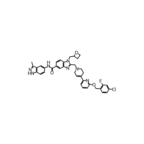 Cc1n[nH]c2ccc(NC(=O)c3ccc4c(c3)nc(CN3CC=C(c5cccc(OCc6ccc(Cl)cc6F)n5)CC3)n4CC3CCO3)cc12